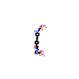 COC(=O)CCNC1CCC(C#Cc2ccc(-c3cc(Cn4ccnc4[C@@H](C)O)no3)cc2)CC1